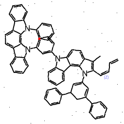 C=C/C=C\c1c(C)c2ccc3c(c4ccccc4n3-c3cccc(-n4c5ccccc5c5ccc6c7ccccc7n(-c7ccccc7)c6c54)c3)c2n1C1=CC(c2ccccc2)CC(c2ccccc2)=C1